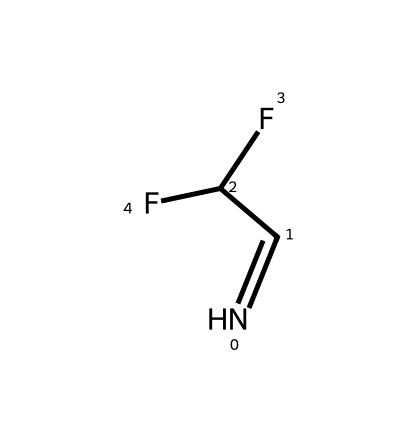 N=CC(F)F